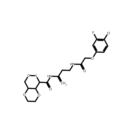 C=C(CCNC(=O)COc1ccc(Cl)c(F)c1)NC(=O)C1SOCC2OCCOC21